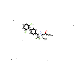 COC(=O)[C@@H](CC(C)C)N[C@@H](c1ccc(-c2c(F)cccc2F)cc1)C(F)F